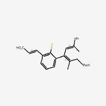 CCC/C(C)=C/C(=C(/C)CC(C)CCC)c1cccc(/C=C/C(=O)O)c1F